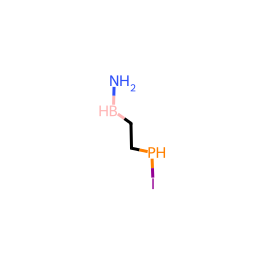 NBCCPI